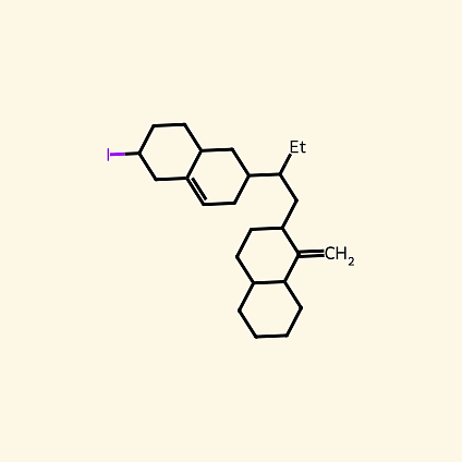 C=C1C(CC(CC)C2CC=C3CC(I)CCC3C2)CCC2CCCCC12